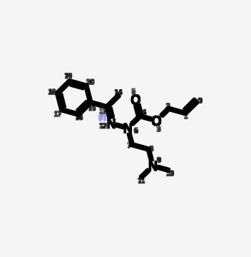 C=CCOC(=O)N(CCN(C)C)/N=C(\C)c1ccccc1